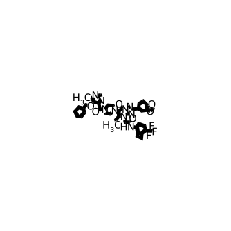 CCc1c(N2CCN(C(=O)c3ncnc(C)c3OCc3ccccc3)CC2)c(=O)n2nc(-c3ccc4c(c3)OCO4)nc2n1CC(=O)Nc1ccc(C(F)(F)F)c2c1CC2